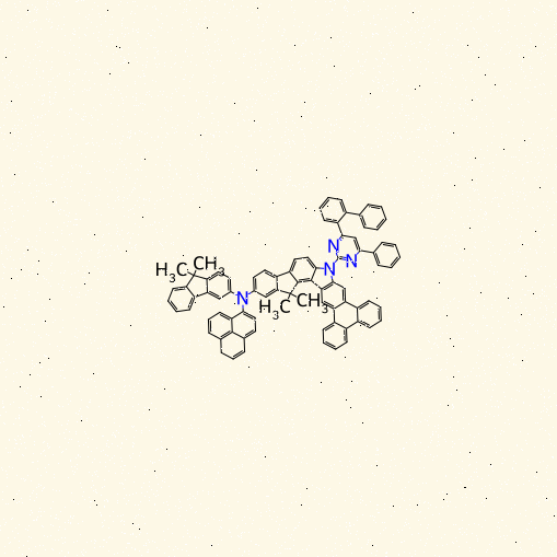 CC1(C)c2ccccc2-c2cc(N(c3ccc4c(c3)C(C)(C)c3c-4ccc4c3c3cc5c6ccccc6c6ccccc6c5cc3n4-c3nc(-c4ccccc4)cc(-c4ccccc4-c4ccccc4)n3)c3ccc4c5c(cccc35)CC=C4)ccc21